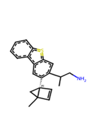 CC(CN)c1cc2sc3ccccc3c2cc1[C@]12C=CC1(C)C2